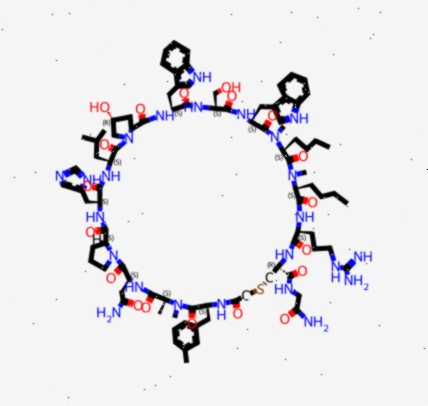 CCCC[C@H]1C(=O)N(C)[C@@H](CCCC)C(=O)N[C@@H](CCCNC(=N)N)C(=O)N[C@H](C(=O)NCC(N)=O)CSCC(=O)N[C@@H](Cc2cccc(C)c2)C(=O)N(C)[C@@H](C)C(=O)N[C@@H](CC(N)=O)C(=O)N2CCC[C@H]2C(=O)N[C@@H](Cc2cnc[nH]2)C(=O)N[C@@H](CC(C)C)C(=O)N2C[C@H](O)CC2C(=O)N[C@@H](Cc2c[nH]c3ccccc23)C(=O)N[C@@H](CO)C(=O)N[C@@H](Cc2c[nH]c3ccccc23)C(=O)N1C